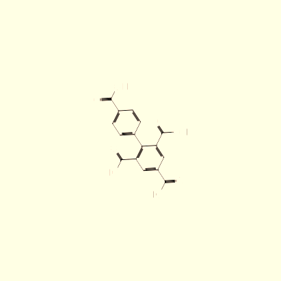 O=C(O)c1ccc(-c2c(C(=O)O)cc(C(=O)O)cc2C(=O)O)cc1